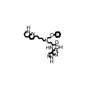 O=C(O)C(CCN(CCCCc1ccc2c(n1)NCCC2)CCOc1ccccc1)Nc1ncnc2[nH]ncc12